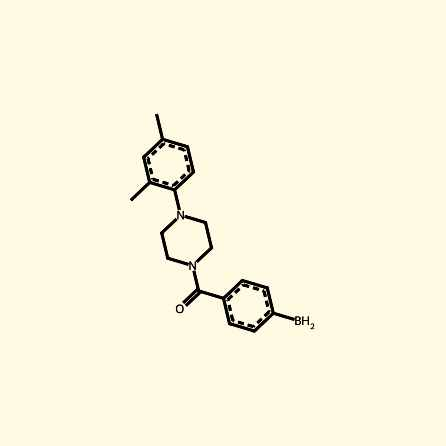 Bc1ccc(C(=O)N2CCN(c3ccc(C)cc3C)CC2)cc1